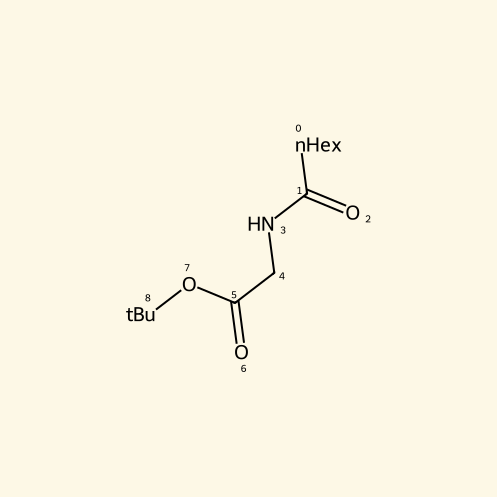 CCCCCCC(=O)NCC(=O)OC(C)(C)C